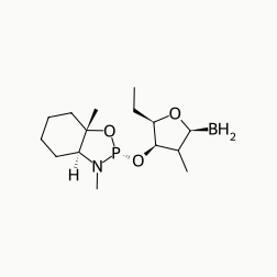 B[C@@H]1O[C@H](CC)[C@H](O[P@@]2O[C@@]3(C)CCCC[C@@H]3N2C)C1C